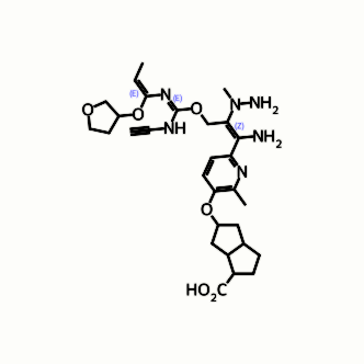 C#CN/C(=N\C(=C/C)OC1CCOC1)OC/C(=C(/N)c1ccc(OC2CC3CCC(C(=O)O)C3C2)c(C)n1)N(C)N